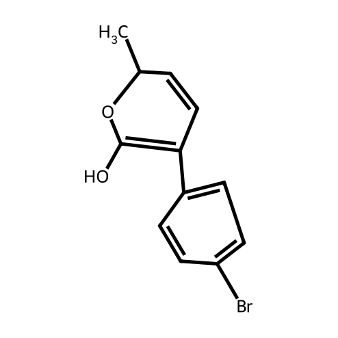 CC1C=CC(c2ccc(Br)cc2)=C(O)O1